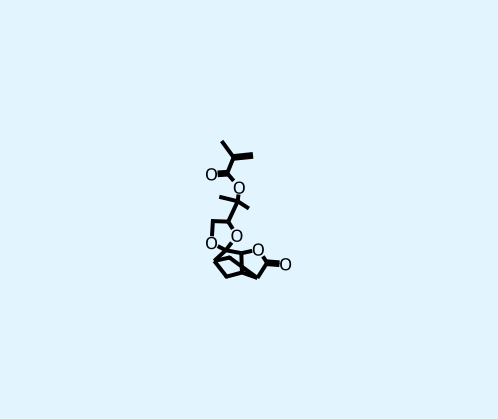 C=C(C)C(=O)OC(C)(C)C1COC2(O1)C1CC3C(=O)OC2C3C1